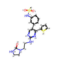 CS(=O)(=O)Nc1cccc(-c2cnc(NCCN3CCNC3=O)nc2-c2cccs2)c1